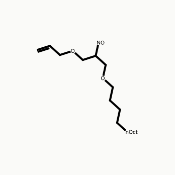 C=CCOCC(COCCCCCCCCCCCC)N=O